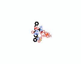 CC(C)(NC(=O)OCOP(=O)(O)O)C(=O)N[C@H](COCc1ccccc1)C(=O)N1CCC2(CC1)CN(S(C)(=O)=O)c1ccccc12